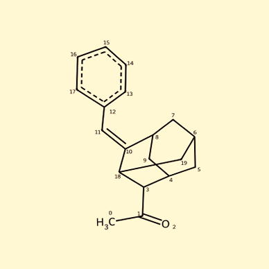 CC(=O)C1C2CC3CC(C2)C(=Cc2ccccc2)C1C3